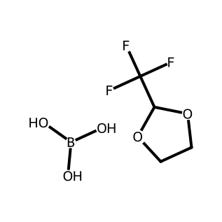 FC(F)(F)C1OCCO1.OB(O)O